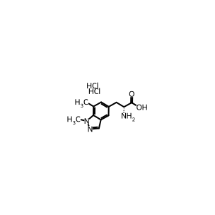 Cc1cc(C[C@@H](N)C(=O)O)cc2cnn(C)c12.Cl.Cl